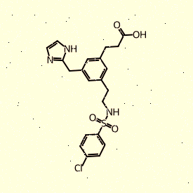 O=C(O)CCc1cc(CCNS(=O)(=O)c2ccc(Cl)cc2)cc(Cc2ncc[nH]2)c1